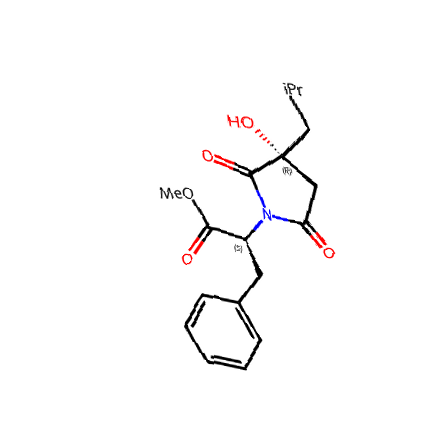 COC(=O)[C@H](Cc1ccccc1)N1C(=O)C[C@](O)(CC(C)C)C1=O